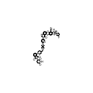 N#Cc1c(NS(=O)(=O)N2CC[C@@H](F)C2)ccc(F)c1Oc1ccc2ncn(-c3ccc(N4CC5(CN(CC6CCN(c7cccc8c7C(=O)N(C7CCC(=O)NC7=O)C8=O)CC6)C5)C4)nc3)c(=O)c2c1